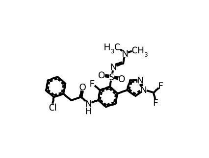 CN(C)C=NS(=O)(=O)c1c(-c2cnn(C(F)F)c2)ccc(NC(=O)Cc2ccccc2Cl)c1F